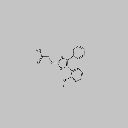 COc1ccccc1-c1oc(SCC(=O)O)nc1-c1ccccc1